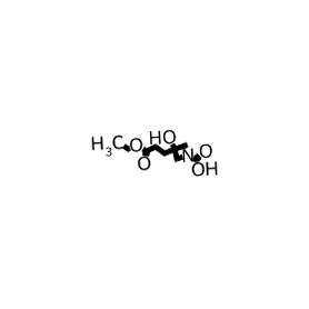 CCOC(=O)CCC1(O)CN(C(=O)O)C1